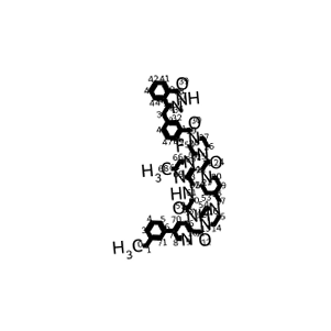 CCc1cccc(-c2cnc(C(=O)N3CCN(CC4CCN(CC(=O)N5CCN(C(=O)c6cc(Cc7n[nH]c(=O)c8ccccc78)ccc6F)CC5)CC4)CC3)c(NC(=O)CNCc3cncc(C)n3)c2)c1